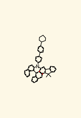 CC1(C)c2ccccc2-c2cc(N(c3ccc(-c4ccc(C5CCCCC5)cc4)cc3)c3ccc4ccccc4c3-c3cccc4ccccc34)ccc21